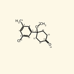 COC1(c2cc(C)cc(Cl)c2)CCC(=O)CC1